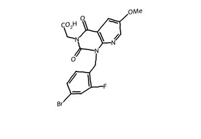 COc1cnc2c(c1)c(=O)n(CC(=O)O)c(=O)n2Cc1ccc(Br)cc1F